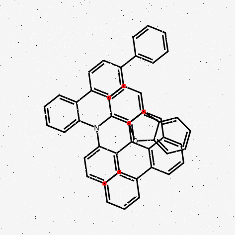 c1ccc(-c2ccc(-c3ccccc3N(c3ccccc3-c3cccc4cccc(-c5ccccc5)c34)c3cccc4c3oc3ccccc34)cc2)cc1